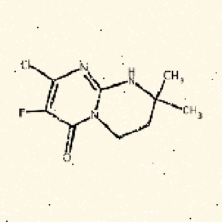 CC1(C)CCn2c(nc(Cl)c(F)c2=O)N1